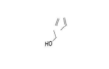 C=C.C=CC.CCO